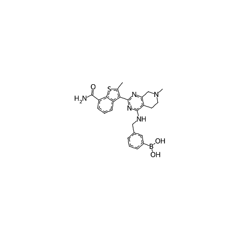 Cc1sc2c(C(N)=O)cccc2c1-c1nc2c(c(NCc3cccc(B(O)O)c3)n1)CCN(C)C2